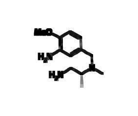 COc1ccc(CN(C)[C@H](C)CN)cc1N